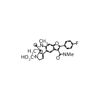 CNC(=O)c1c(-c2ccc(F)cc2)oc2cc(N(C)S(C)(=O)=O)c(C3=CCN(C(=O)O)C3)cc12